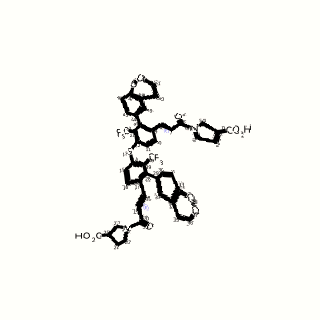 O=C(O)C1CCN(C(=O)/C=C/c2ccc(Sc3ccc(/C=C/C(=O)N4CCC(C(=O)O)C4)c(-c4ccc5c(c4)CCOO5)c3C(F)(F)F)c(C(F)(F)F)c2-c2ccc3c(c2)CCOO3)C1